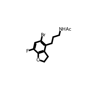 CC(=O)NCCCc1c(Br)cc(F)c2c1CCO2